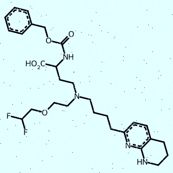 O=C(NC(CCN(CCCCc1ccc2c(n1)NCCC2)CCOCC(F)F)C(=O)O)OCc1ccccc1